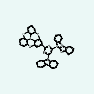 c1cc2c3c(c1)Oc1cc(-c4nc(-n5c6ccccc6c6ccccc65)cc(-n5c6ccccc6n6c7ccccc7nc56)n4)cc4c1B3c1c(cccc1O4)O2